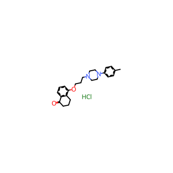 Cc1ccc(N2CCN(CCCOc3cccc4c3CCCC4=O)CC2)cc1.Cl